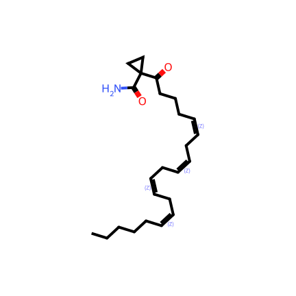 CCCCC/C=C\C/C=C\C/C=C\C/C=C\CCCC(=O)C1(C(N)=O)CC1